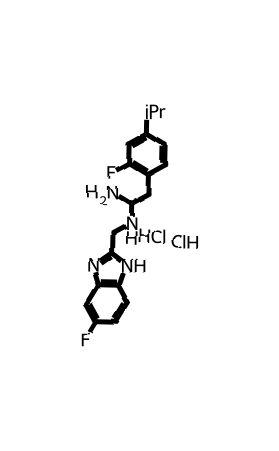 CC(C)c1ccc(CC(N)NCc2nc3cc(F)ccc3[nH]2)c(F)c1.Cl.Cl